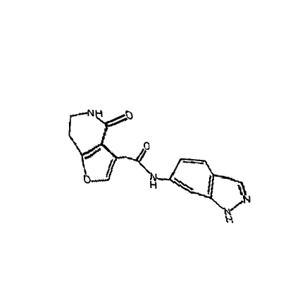 O=C(Nc1ccc2cn[nH]c2c1)c1coc2c1C(=O)NCC2